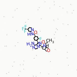 C=CC(=O)N1[C@@H]2COCC2C[C@H]1c1nc(-c2ccc(C(=O)Nc3cc(C(F)(F)F)ccn3)cc2F)c2c(N)nccn12